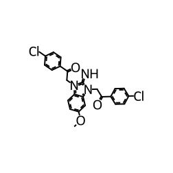 COc1ccc2c(c1)n(CC(=O)c1ccc(Cl)cc1)c(=N)n2CC(=O)c1ccc(Cl)cc1